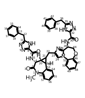 CN1C(=O)[C@H](NC(=O)c2nnc(Cc3ccccc3)[nH]2)[C@@H]2C(Cc3cn4c(n3)[C@@H](NC(=O)c3nnc(Cc5ccccc5)[nH]3)COc3ccccc3-4)[C@H]2c2ccccc21